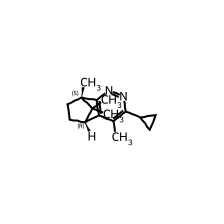 Cc1c(C2CC2)nnc2c1[C@@H]1CC[C@@]2(C)C1(C)C